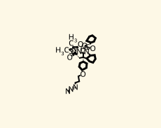 CN1C(=O)[C@@]23C[C@]4(c5ccc(OCCCN=[N+]=[N-])cc5)c5ccccc5N(S(=O)(=O)c5ccccc5)[C@@H]4N2C(=O)[C@]1(C)SS3